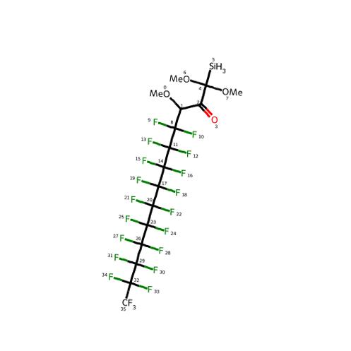 COC(C(=O)C([SiH3])(OC)OC)C(F)(F)C(F)(F)C(F)(F)C(F)(F)C(F)(F)C(F)(F)C(F)(F)C(F)(F)C(F)(F)C(F)(F)F